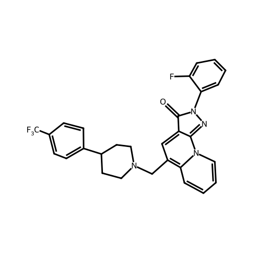 O=c1c2cc(CN3CCC(c4ccc(C(F)(F)F)cc4)CC3)c3ccccn3c-2nn1-c1ccccc1F